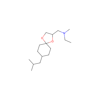 CCN(C)CC1COC2(CCC(CC(C)C)CC2)O1